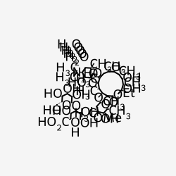 CC[C@H]1OC(=O)[C@H](C)[C@@H](O[C@H]2C[C@@](C)(OC)[C@@H](O)[C@H](C)O2)[C@H](C)[C@@H](O[C@@H]2O[C@H](C)C[C@H](N(C)C)[C@H]2O)[C@](C)(O)C[C@@H](C)C(=O)[C@H](C)[C@@H](O)[C@]1(C)O.O.O.O.O.O.O=C(O)[C@H](O)[C@@H](O)[C@H](O[C@@H]1O[C@H](CO)[C@H](O)[C@H](O)[C@H]1O)[C@H](O)CO